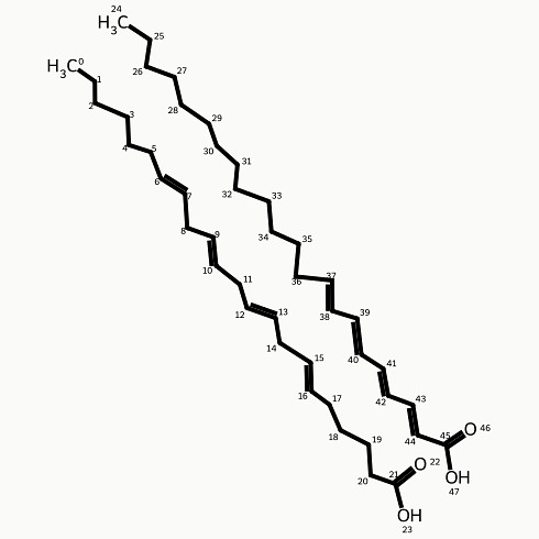 CCCCCCC=CCC=CCC=CCC=CCCCCC(=O)O.CCCCCCCCCCCCCC=CC=CC=CC=CC(=O)O